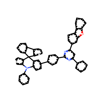 c1ccc(-c2cc(-c3ccc4c(c3)oc3ccccc34)nc(-c3ccc(-c4ccc5c(c4)C4(c6ccccc6-c6ccccc64)c4ccccc4N5c4ccccc4)cc3)n2)cc1